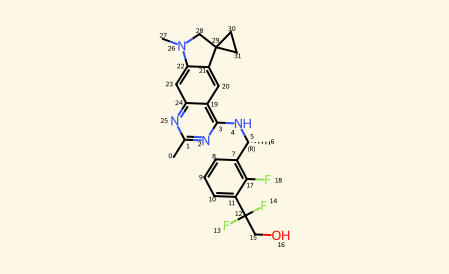 Cc1nc(N[C@H](C)c2cccc(C(F)(F)CO)c2F)c2cc3c(cc2n1)N(C)CC31CC1